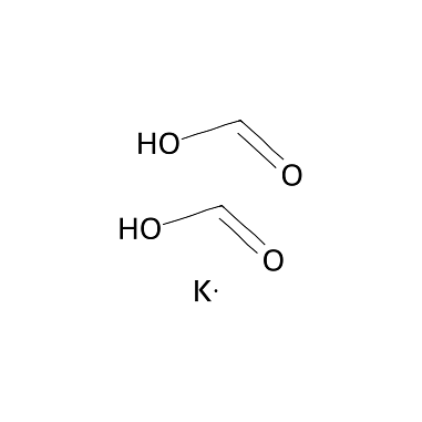 O=CO.O=CO.[K]